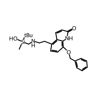 CC(C)(C)[Si](C)(O)CNCCc1ccc(OCc2ccccc2)c2[nH]c(=O)ccc12